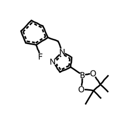 CC1(C)OB(c2cnn(Cc3ccccc3F)c2)OC1(C)C